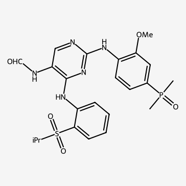 COc1cc(P(C)(C)=O)ccc1Nc1ncc(NC=O)c(Nc2ccccc2S(=O)(=O)C(C)C)n1